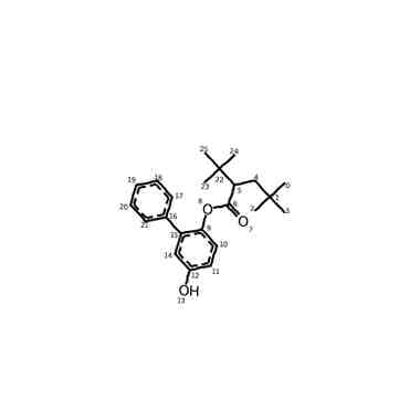 CC(C)(C)CC(C(=O)Oc1ccc(O)cc1-c1ccccc1)C(C)(C)C